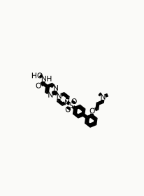 CN(C)CCCOc1ccccc1-c1ccc(S(=O)(=O)N2CCN(c3ncc(C(=O)NO)cn3)CC2)cc1